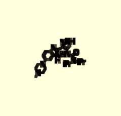 CC(C)N(C(=O)Nc1c[nH]nc1-c1nc2ccc(N3CCN(C)CC3)cc2[nH]1)C(C)C